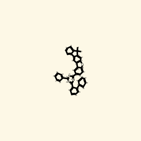 CC1(C)c2ccccc2-c2cc3c(cc21)oc1ccc(-c2nc(-c4ccccc4)nc(-c4ccccc4-c4ccccc4)n2)cc13